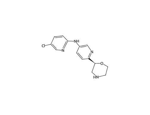 Clc1ccc(Nc2ccc([C@@H]3CNCCO3)nc2)nc1